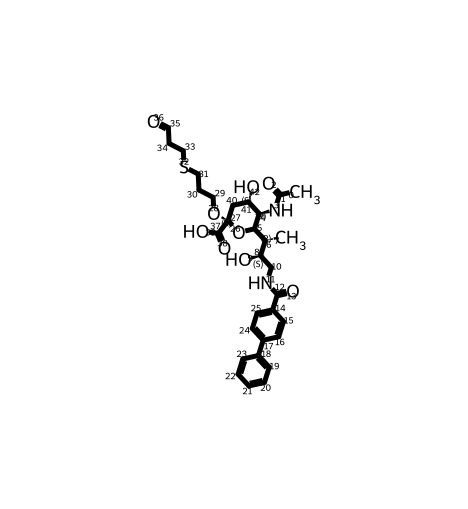 CC(=O)N[C@H]1C([C@H](C)[C@H](O)CNC(=O)c2ccc(-c3ccccc3)cc2)O[C@@](OCCCSCCC=O)(C(=O)O)C[C@@H]1O